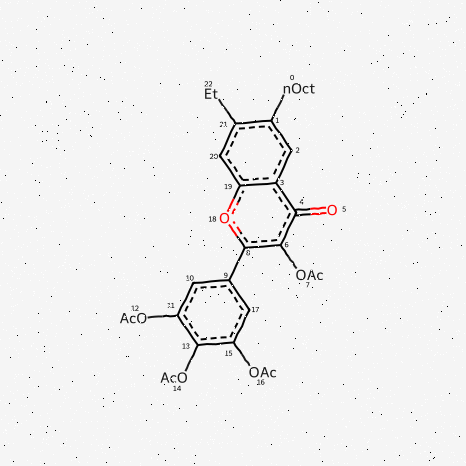 CCCCCCCCc1cc2c(=O)c(OC(C)=O)c(-c3cc(OC(C)=O)c(OC(C)=O)c(OC(C)=O)c3)oc2cc1CC